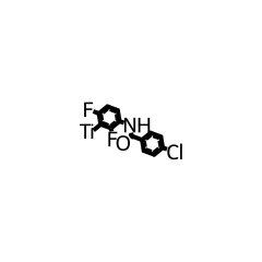 O=C(Nc1ccc(F)[c]([Ti])c1F)c1ccc(Cl)cc1